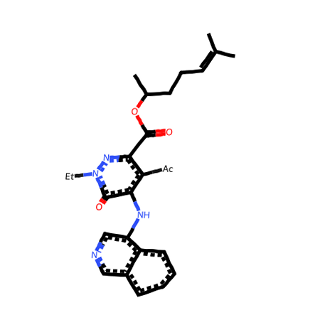 CCn1nc(C(=O)OC(C)CCC=C(C)C)c(C(C)=O)c(Nc2cncc3ccccc23)c1=O